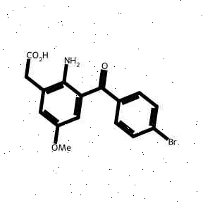 COc1cc(CC(=O)O)c(N)c(C(=O)c2ccc(Br)cc2)c1